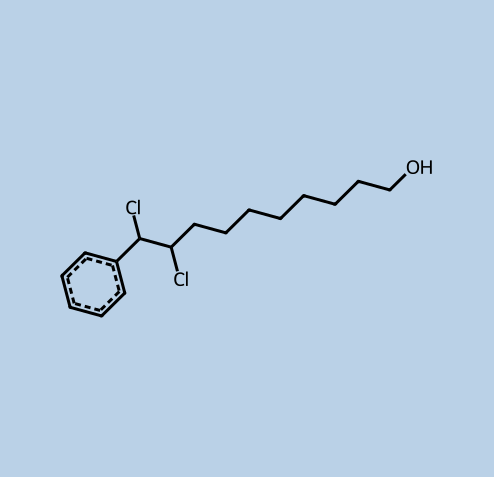 OCCCCCCCCC(Cl)C(Cl)c1ccccc1